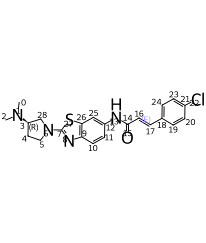 CN(C)[C@@H]1CCN(c2nc3ccc(NC(=O)/C=C/c4ccc(Cl)cc4)cc3s2)C1